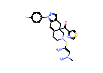 CN(N)/C=C(\N)SN1CCC2=Cc3c(cnn3-c3ccc(F)cc3)CC2(C(=O)c2cscn2)C1